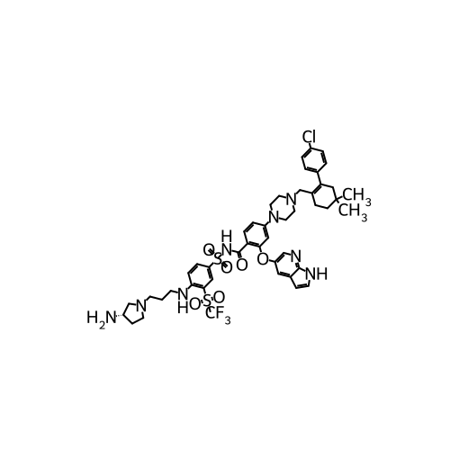 CC1(C)CCC(CN2CCN(c3ccc(C(=O)NS(=O)(=O)c4ccc(NCCCN5CC[C@H](N)C5)c(S(=O)(=O)C(F)(F)F)c4)c(Oc4cnc5[nH]ccc5c4)c3)CC2)=C(c2ccc(Cl)cc2)C1